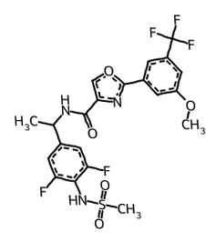 COc1cc(-c2nc(C(=O)NC(C)c3cc(F)c(NS(C)(=O)=O)c(F)c3)co2)cc(C(F)(F)F)c1